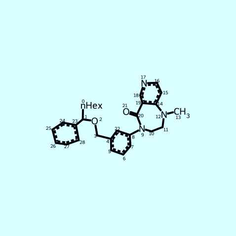 CCCCCCC(OCc1cccc(N2CCN(C)c3ccncc3C2=O)c1)c1ccccc1